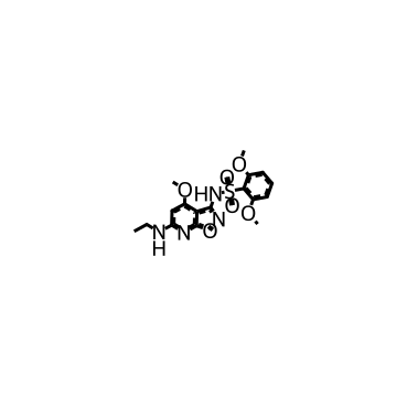 CCNc1cc(OC)c2c(NS(=O)(=O)c3c(OC)cccc3OC)noc2n1